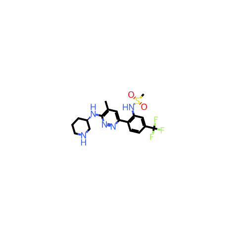 Cc1cc(-c2ccc(C(F)(F)F)cc2NS(C)(=O)=O)nnc1N[C@@H]1CCCNC1